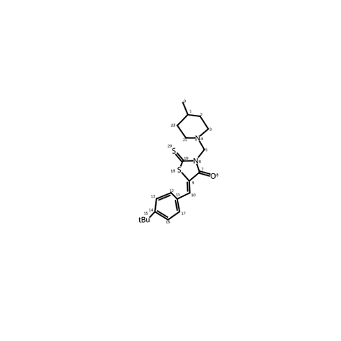 CC1CCN(CN2C(=O)/C(=C/c3ccc(C(C)(C)C)cc3)SC2=S)CC1